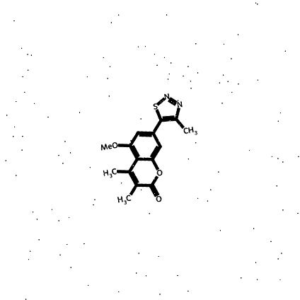 COc1cc(-c2snnc2C)cc2oc(=O)c(C)c(C)c12